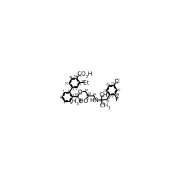 CCc1cc(-c2ccccc2[C@@H](C)OC[C@H](O)CNC(C)(C)Cc2ccc(Cl)cc2F)ccc1C(=O)O